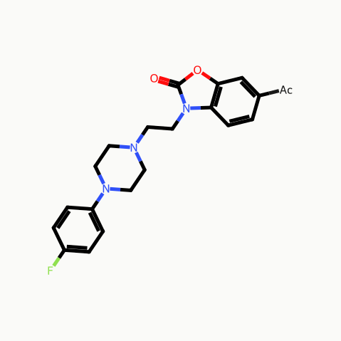 CC(=O)c1ccc2c(c1)oc(=O)n2CCN1CCN(c2ccc(F)cc2)CC1